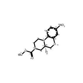 CC(C)(C)OC(=O)N1CCN2c3ncc([N+](=O)[O-])cc3OC[C@H]2C1